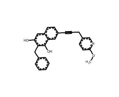 COc1ccc(CC#Cc2ccc3cc(O)c(Cc4ccccc4)c(O)c3c2)cn1